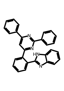 c1ccc(-c2cc(-c3ccccc3-c3nc4ccccc4[nH]3)nc(-c3ccccc3)n2)cc1